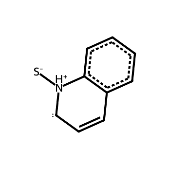 [S-][NH+]1[C]C=Cc2ccccc21